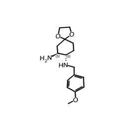 COc1ccc(CN[C@H]2CCC3(C[C@@H]2N)OCCO3)cc1